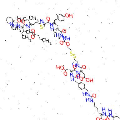 CCCC(=O)OCN(C(=O)[C@@H](NC(=O)[C@H]1CCCCN1C)C(C)CC)[C@H](CCc1nc(C(=O)N[C@@H](Cc2ccc(O)cc2)C[C@H](C)C(=O)NNC(=O)OCCSSCCNC(=O)[C@@H](CC(=O)O)NC(=O)[C@@H](CC(=O)O)NC(=O)Cc2ccc(CNC(=O)NCCCC[C@H](NC(=O)N[C@@H](CCC(=O)O)C(=O)O)C(=O)O)cc2)cs1)C(C)C